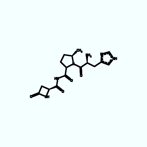 C[C@@H]1CCC(C(=O)NC(=O)[C@@H]2CC(=O)N2)N1C(=O)[C@@H](N)Cc1c[nH]cn1